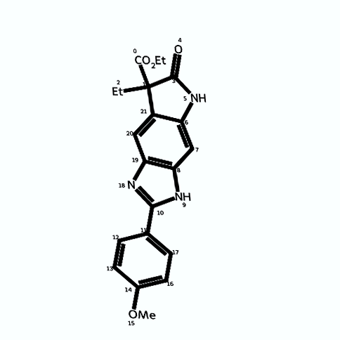 CCOC(=O)C1(CC)C(=O)Nc2cc3[nH]c(-c4ccc(OC)cc4)nc3cc21